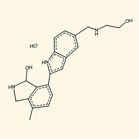 Cc1ccc(-c2cc3cc(CNCCO)ccc3[nH]2)c2c1CNC2O.Cl